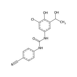 CC(O)c1cc(NC(=O)Nc2ccc(C#N)cc2)cc(Cl)c1O